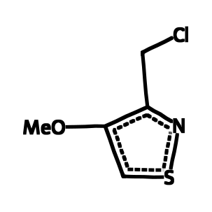 COc1csnc1CCl